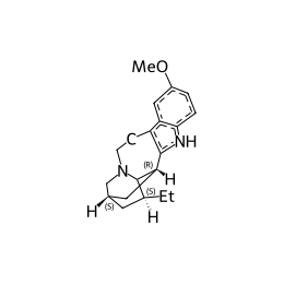 CC[C@H]1C[C@H]2C[C@H]3c4[nH]c5ccc(OC)cc5c4CCN(C2)C13